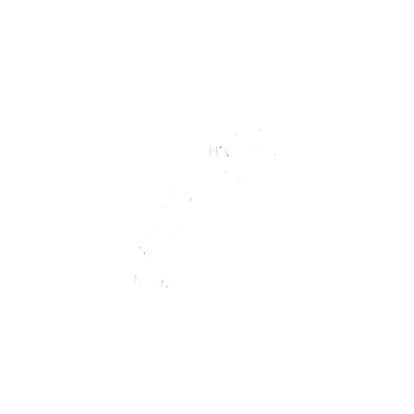 Cc1ccc(C(F)(F)F)cc1NC(=O)CCc1cccc(Oc2ccnc(C3=NCCN3)c2)c1